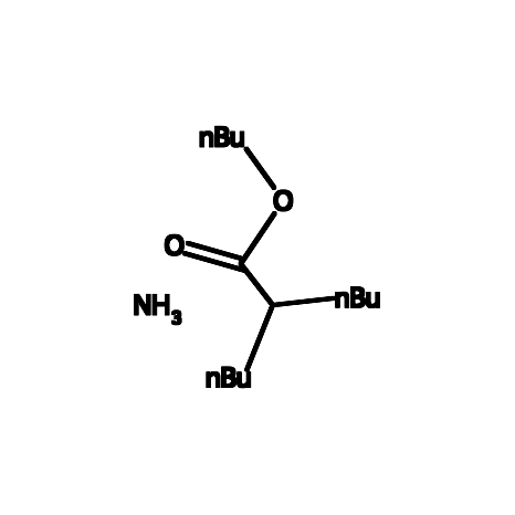 CCCCOC(=O)C(CCCC)CCCC.N